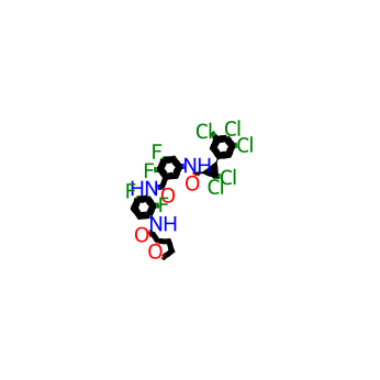 O=C(Nc1c(F)ccc(NC(=O)C2CCCO2)c1F)c1cc(NC(=O)[C@H]2[C@H](c3cc(Cl)c(Cl)c(Cl)c3)C2(Cl)Cl)cc(F)c1F